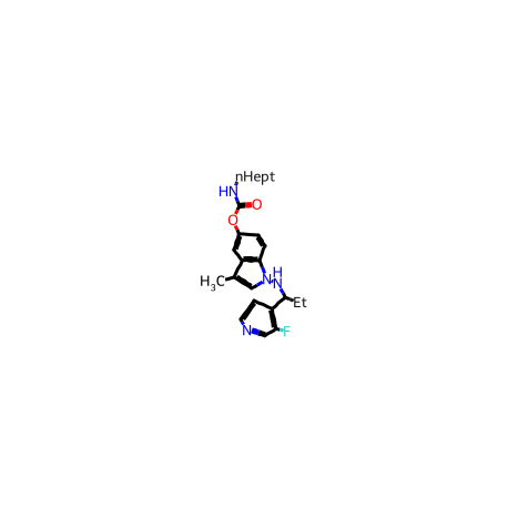 CCCCCCCNC(=O)Oc1ccc2c(c1)c(C)cn2NC(CC)c1ccncc1F